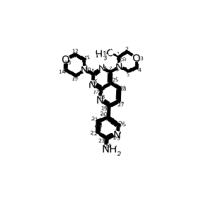 C[C@H]1COCCN1c1nc(N2CCOCC2)nc2nc(-c3ccc(N)nc3)ccc12